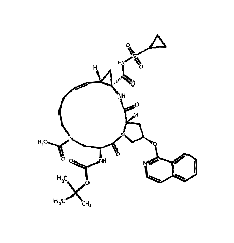 CC(=O)N1CCC/C=C\[C@@H]2C[C@@]2(C(=O)NS(=O)(=O)C2CC2)NC(=O)[C@@H]2C[C@@H](Oc3nccc4ccccc34)CN2C(=O)[C@@H](NC(=O)OC(C)(C)C)C1